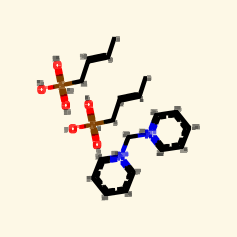 CC=CCS(=O)(=O)[O-].CC=CCS(=O)(=O)[O-].c1cc[n+](C[n+]2ccccc2)cc1